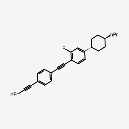 CCCC#Cc1ccc(C#Cc2ccc([C@H]3CC[C@H](CCC)CC3)cc2F)cc1